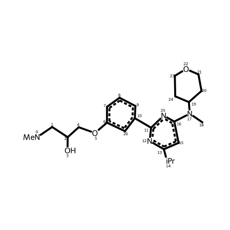 CNCC(O)COc1cccc(-c2nc(C(C)C)cc(N(C)C3CCOCC3)n2)c1